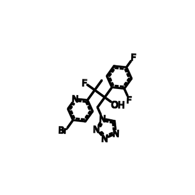 CC(F)(c1ccc(Br)cn1)C(O)(Cn1cnnn1)c1ccc(F)cc1F